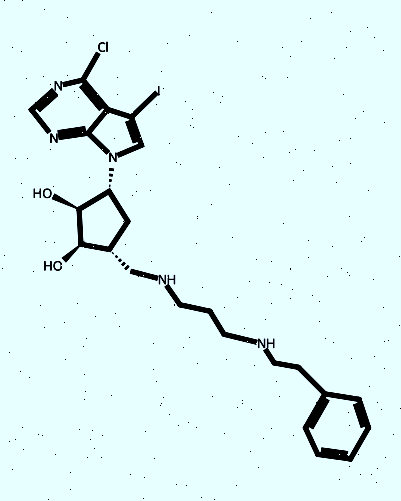 O[C@@H]1[C@@H](CNCCCNCCc2ccccc2)C[C@@H](n2cc(I)c3c(Cl)ncnc32)[C@@H]1O